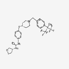 O=C(Nc1ccc(SC2CCN(Cc3ccc(C(O)(C(F)(F)F)C(F)(F)F)cc3)CC2)cc1)NC1CCOC1